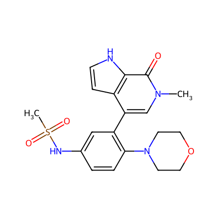 Cn1cc(-c2cc(NS(C)(=O)=O)ccc2N2CCOCC2)c2cc[nH]c2c1=O